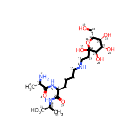 C[C@H](N)C(=O)N[C@@H](CCCCNCCC1(O)O[C@H](CO)[C@H](O)[C@H](O)[C@H]1O)C(=O)N[C@@H](C)C(=O)O